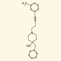 Cc1cccc(C#CCCN2CCC(O)(Cc3ccccc3)CC2)c1